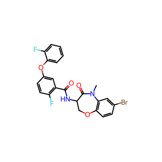 CN1C(=O)C(NC(=O)c2cc(Oc3ccccc3F)ccc2F)COc2ccc(Br)cc21